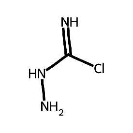 N=C(Cl)NN